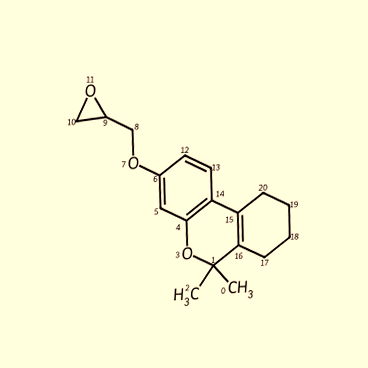 CC1(C)Oc2cc(OCC3CO3)ccc2C2=C1CCCC2